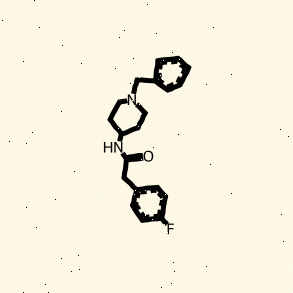 O=C(Cc1ccc(F)cc1)NC1CCN(Cc2ccccc2)CC1